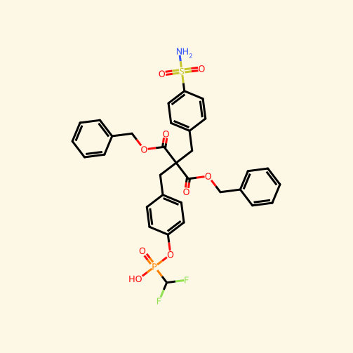 NS(=O)(=O)c1ccc(CC(Cc2ccc(OP(=O)(O)C(F)F)cc2)(C(=O)OCc2ccccc2)C(=O)OCc2ccccc2)cc1